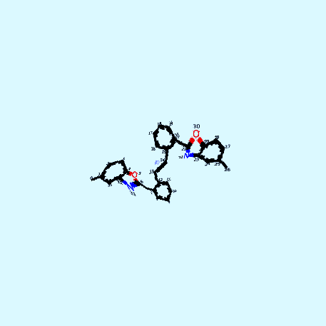 Cc1ccc2oc(-c3ccccc3/C=C/c3ccccc3-c3nc4cc(C)ccc4o3)nc2c1